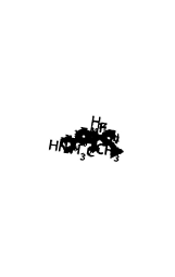 CC(C)c1c(-c2cc(C3CC3)ncc2F)[nH]c2ccc(C3CCNCC3)cc12